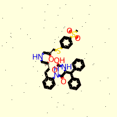 CS(=O)(=O)c1ccc(SC[C@@H]2CNC[C@@H](CCc3ccccc3NC(=O)C(NC(=O)O)C(c3ccccc3)c3ccccc3)O2)cc1